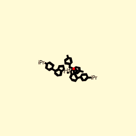 Cc1ccc([C](c2ccc(C)cc2)=[Hf]([CH3])([CH3])([CH]2C=Cc3c(-c4ccc(C(C)C)cc4)cccc32)[CH]2C=Cc3c(-c4ccc(C(C)C)cc4)cccc32)cc1